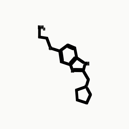 NCCOc1ccc2[nH]c(CN3CCCC3)nc2c1